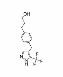 OCCCc1ccc(Cc2cn[nH]c2C(F)(F)F)cc1